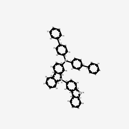 c1ccc(-c2ccc(N(c3ccc(-c4ccccc4)cc3)c3ccc4c5ccccc5n(-c5ccc6oc7ccccc7c6c5)c4c3)cc2)cc1